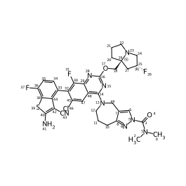 CN(C)C(=O)n1cc2c(n1)CCCN(c1nc(OC[C@@]34CCCN3C[C@H](F)C4)nc3c(F)c(-c4ccc(F)c5sc(N)c(C#N)c45)c(Cl)cc13)C2